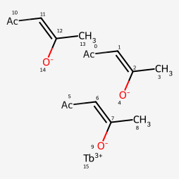 CC(=O)C=C(C)[O-].CC(=O)C=C(C)[O-].CC(=O)C=C(C)[O-].[Tb+3]